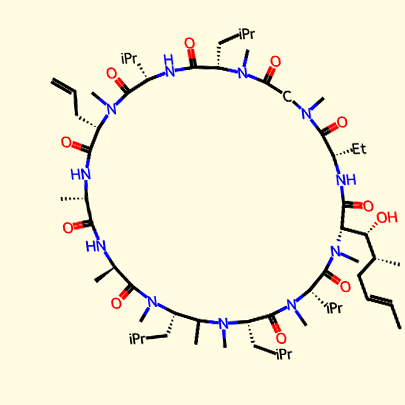 C=CC[C@H]1C(=O)N[C@@H](C)C(=O)N[C@H](C)C(=O)N(C)[C@@H](CC(C)C)C(C)N(C)[C@@H](CC(C)C)C(=O)N(C)[C@@H](C(C)C)C(=O)N(C)[C@@H]([C@H](O)[C@H](C)C/C=C/C)C(=O)N[C@@H](CC)C(=O)N(C)CC(=O)N(C)[C@@H](CC(C)C)C(=O)N[C@@H](C(C)C)C(=O)N1C